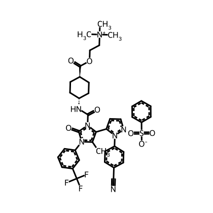 Cc1c(-c2ccnn2-c2ccc(C#N)cc2)n(C(=O)N[C@H]2CC[C@H](C(=O)OCC[N+](C)(C)C)CC2)c(=O)n1-c1cccc(C(F)(F)F)c1.O=S(=O)([O-])c1ccccc1